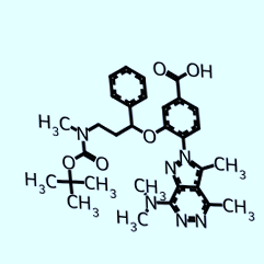 Cc1nnc(N(C)C)c2nn(-c3ccc(C(=O)O)cc3OC(CCN(C)C(=O)OC(C)(C)C)c3ccccc3)c(C)c12